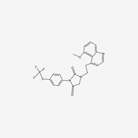 COc1cccc2nccc(CCN3CC(=O)N(c4ccc(SC(F)(F)F)cc4)C3=O)c12